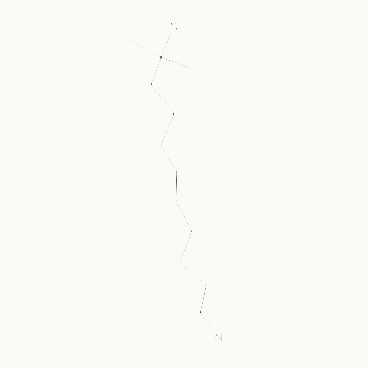 CC(C)(N)CCCCCCCCCN